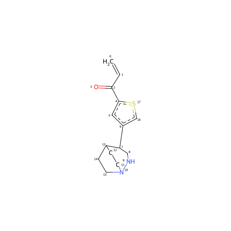 C=CC(=O)c1cc(C2CNN3CCC2CC3)cs1